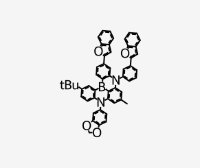 Cc1cc2c3c(c1)N(c1cccc(-c4cc5ccccc5o4)c1)c1cc(-c4cc5ccccc5o4)ccc1B3c1cc(C(C)(C)C)ccc1N2c1ccc2c(c1)OCO2